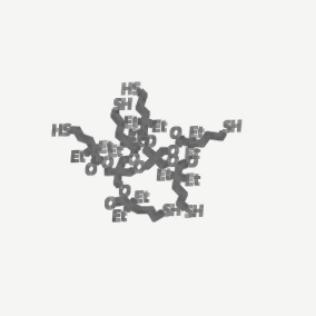 CCC(CC)(CCCS)C(=O)OCC(COCC(COC(=O)C(CC)(CC)CCCS)(COC(=O)C(CC)(CC)CCCS)COC(=O)C(CC)(CC)CCCS)(COC(=O)C(CC)(CC)CCCS)COC(=O)C(CC)(CC)CCCS